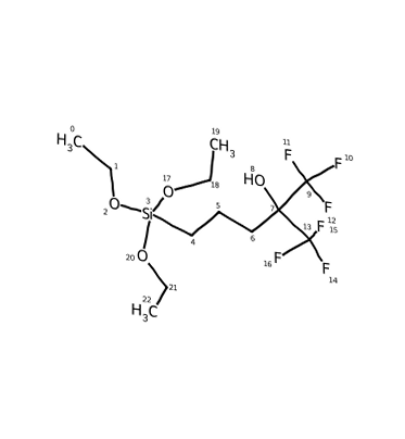 CCO[Si](CCCC(O)(C(F)(F)F)C(F)(F)F)(OCC)OCC